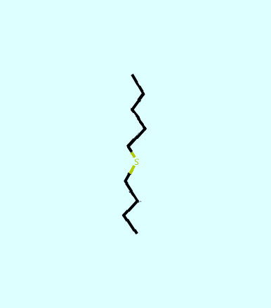 CC[CH]CSCCCCC